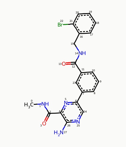 CNC(=O)c1nc(-c2cccc(C(=O)NCc3ccccc3Br)c2)cnc1N